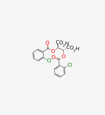 O=C(O[C@@H](C(=O)O)[C@@H](OC(=O)c1ccccc1Cl)C(=O)O)c1ccccc1Cl